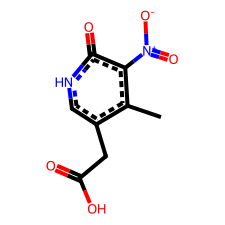 Cc1c(CC(=O)O)c[nH]c(=O)c1[N+](=O)[O-]